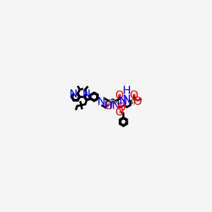 CCn1c(-c2cccnc2C(C)C)c(CC(C)(C)CC)c2cc(N3CCO[C@@H](C[C@H](NC(=O)OCc4ccccc4)C(=O)N4CCC[C@@H](C(=O)OC)N4)C3)ccc21